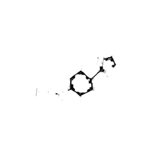 FC(F)(F)Oc1ccc(-c2n[c]co2)cc1